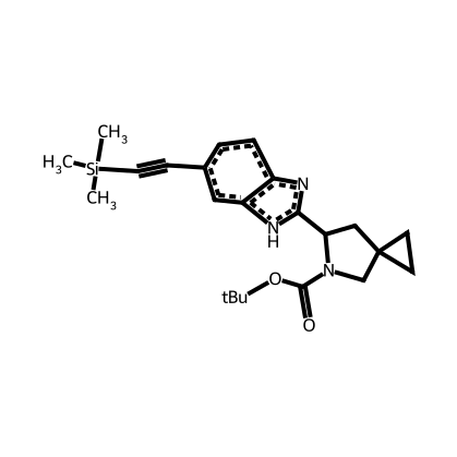 CC(C)(C)OC(=O)N1CC2(CC2)CC1c1nc2ccc(C#C[Si](C)(C)C)cc2[nH]1